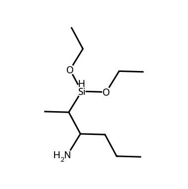 CCCC(N)C(C)[SiH](OCC)OCC